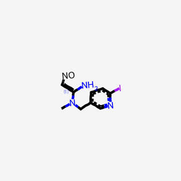 CN(Cc1ccc(I)nc1)/C(N)=C/N=O